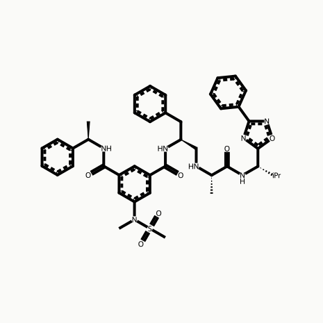 CC(C)[C@H](NC(=O)[C@H](C)NC[C@H](Cc1ccccc1)NC(=O)c1cc(C(=O)N[C@H](C)c2ccccc2)cc(N(C)S(C)(=O)=O)c1)c1nc(-c2ccccc2)no1